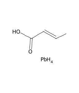 C/C=C/C(=O)O.[PbH4]